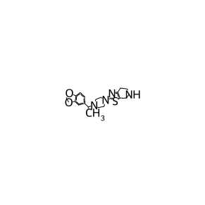 C[C@@H](c1ccc2c(c1)OCO2)N1CCN(c2nc3c(s2)CNCC3)CC1